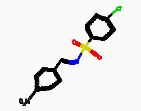 O=[N+]([O-])c1ccc(/C=N/S(=O)(=O)c2ccc(Cl)cc2)cc1